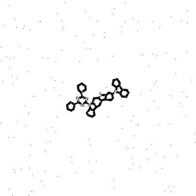 c1ccc(-c2nc(-c3ccccc3)nc(-n3c4ccccc4c4cc5c(cc43)sc3cc(-n4c6ccccc6c6ccccc64)ccc35)n2)cc1